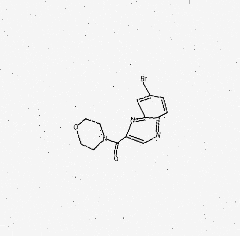 O=C(c1cnc2ccc(Br)cc2n1)N1CCOCC1